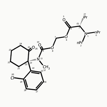 CCCN(CCC)[C@H](C(=O)OCOC(=O)N(C)[C@]1(c2ccccc2Cl)CCCCC1=O)C(C)C